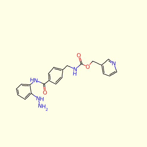 NNc1ccccc1NC(=O)c1ccc(CNC(=O)OCc2cccnc2)cc1